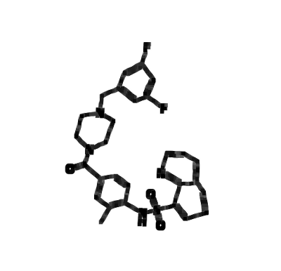 Cc1cc(C(=O)N2CCN(Cc3cc(F)cc(F)c3)CC2)ccc1NS(=O)(=O)c1cccc2cccnc12